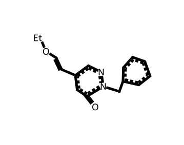 CCOC=Cc1cnn(Cc2ccccc2)c(=O)c1